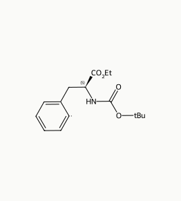 CCOC(=O)[C@H](Cc1[c]cccc1)NC(=O)OC(C)(C)C